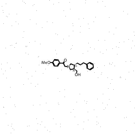 COc1ccc(C(=O)CN2C[C@@H](CCCc3ccccc3)[C@@H](CO)C2)cc1